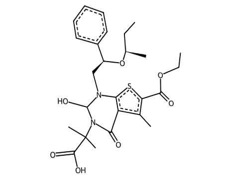 CCOC(=O)c1sc2c(c1C)C(=O)N(C(C)(C)C(=O)O)C(O)N2C[C@H](O[C@H](C)CC)c1ccccc1